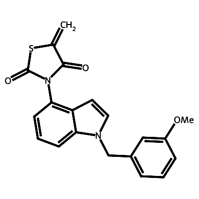 C=C1SC(=O)N(c2cccc3c2ccn3Cc2cccc(OC)c2)C1=O